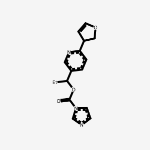 CCC(OC(=O)n1ccnc1)c1ccc(C2C=COC2)nc1